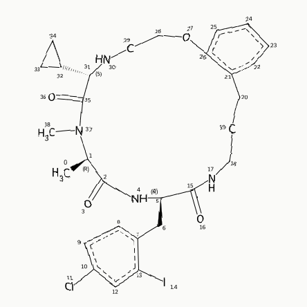 C[C@@H]1C(=O)N[C@H](Cc2ccc(Cl)cc2I)C(=O)NCCCc2ccccc2OCCN[C@@H](C2CC2)C(=O)N1C